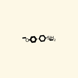 CCOc1ccc([C@H]2CC[C@H]([SiH2]CC)CC2)cc1